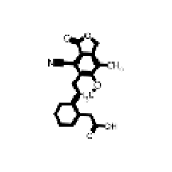 COc1c(C)c2c(c(C#N)c1C/C=C1\CCCCC1CC(=O)O)C(=O)OC2